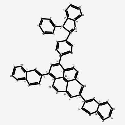 c1ccc(-n2c(-c3ccc(-c4cc(-c5ccc6ccccc6c5)c5ccc6cc(-c7ccc8ccccc8c7)cc7ccc4c5c76)cc3)nc3ccccc32)cc1